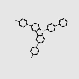 Clc1ccc(-c2ccc3c(c2)c2cc(-c4ccc(Cl)cc4)ccc2n3-c2ccc(-c3ccccc3)cc2)cc1